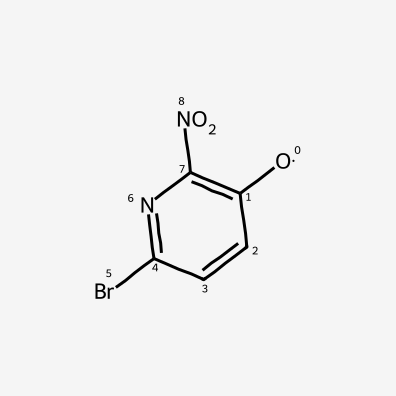 [O]c1ccc(Br)nc1[N+](=O)[O-]